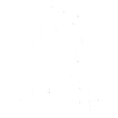 CC(C)CNCc1cc(C(=O)Nc2cccc(-c3cc(F)ccc3-c3nncn3C)c2)c(=O)n(CC(F)(F)F)c1